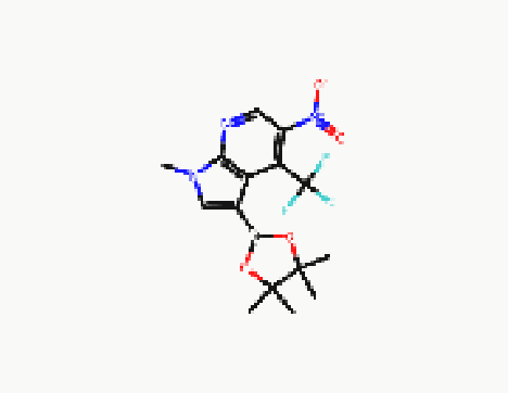 Cn1cc(B2OC(C)(C)C(C)(C)O2)c2c(C(F)(F)F)c([N+](=O)[O-])cnc21